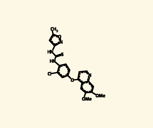 COc1cc2nccc(Oc3ccc(NC(=S)Nc4cc(C)on4)c(Cl)c3)c2cc1OC